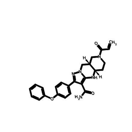 C=CC(=O)N1CC[C@@H]2Nc3c(C(N)=O)c(-c4ccc(Oc5ccccc5)cc4)nn3C[C@@H]2C1